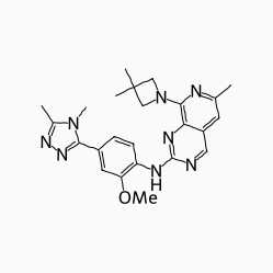 COc1cc(-c2nnc(C)n2C)ccc1Nc1ncc2cc(C)nc(N3CC(C)(C)C3)c2n1